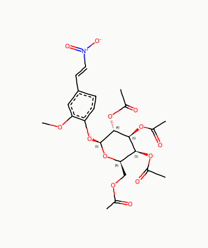 COc1cc(C=C[N+](=O)[O-])ccc1O[C@@H]1O[C@H](COC(C)=O)[C@H](OC(C)=O)[C@H](OC(C)=O)[C@H]1OC(C)=O